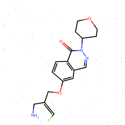 NCC(=CF)COc1ccc2c(=O)n(C3CCOCC3)ncc2c1